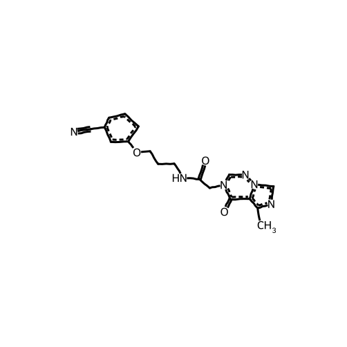 Cc1ncn2ncn(CC(=O)NCCCOc3cccc(C#N)c3)c(=O)c12